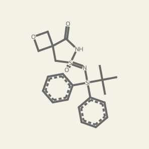 CC(C)(C)[Si](N=S1(=O)CC2(COC2)C(=O)N1)(c1ccccc1)c1ccccc1